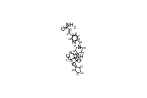 NC(=O)/C=C/c1ccc(CN2CCC(NC3(C(=O)OC4CCCC4)CCOCC3)CC2)nc1